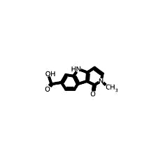 Cn1ccc2[nH]c3cc(C(=O)O)ccc3c2c1=O